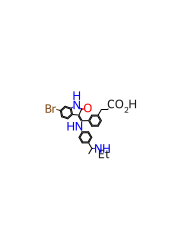 CCNC(C)c1ccc(NC(=C2C(=O)Nc3cc(Br)ccc32)c2cccc(CCC(=O)O)c2)cc1